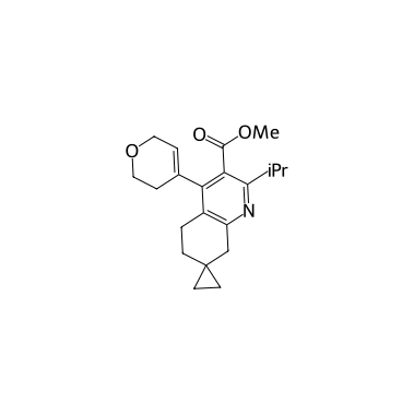 COC(=O)c1c(C(C)C)nc2c(c1C1=CCOCC1)CCC1(CC1)C2